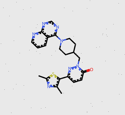 Cc1nc(C)c(-c2ccc(=O)n(CC3CCN(c4ncnc5ncccc45)CC3)n2)s1